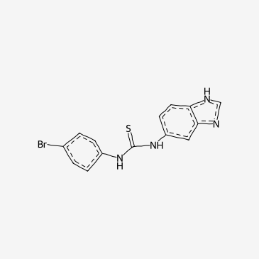 S=C(Nc1ccc(Br)cc1)Nc1ccc2[nH]cnc2c1